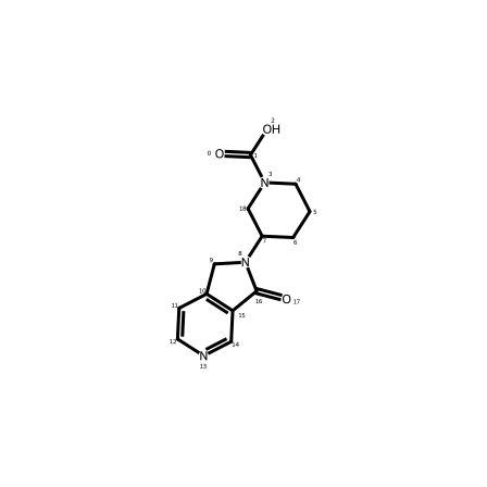 O=C(O)N1CCCC(N2Cc3ccncc3C2=O)C1